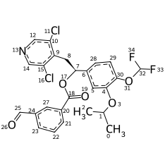 CC(C)Oc1cc([C@H](Cc2c(Cl)cncc2Cl)OC(=O)c2cccc(C=O)c2)ccc1OC(F)F